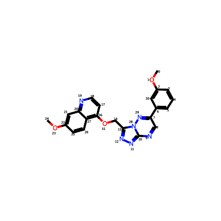 COc1cccc(-c2cnc3nnc(COc4ccnc5cc(OC)ccc45)n3n2)c1